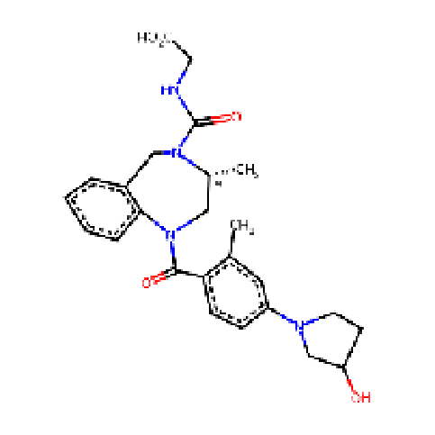 Cc1cc(N2CCC(O)C2)ccc1C(=O)N1C[C@@H](C)N(C(=O)NCC(=O)O)Cc2ccccc21